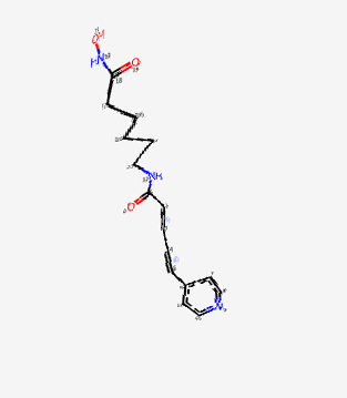 O=C(/C=C/C=C/c1ccncc1)NCCCCCC(=O)NO